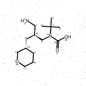 CC(C)(C)N(C[C@H](CN)C[C@@H]1CCCOC1)C(=O)O